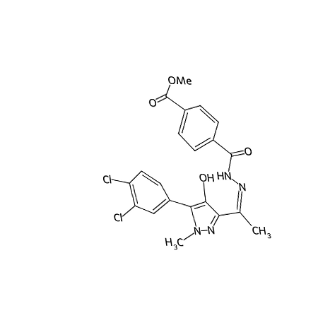 COC(=O)c1ccc(C(=O)NN=C(C)c2nn(C)c(-c3ccc(Cl)c(Cl)c3)c2O)cc1